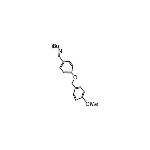 CCC(C)N=Cc1ccc(OCc2ccc(OC)cc2)cc1